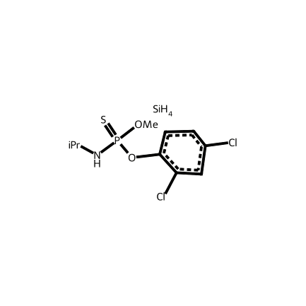 COP(=S)(NC(C)C)Oc1ccc(Cl)cc1Cl.[SiH4]